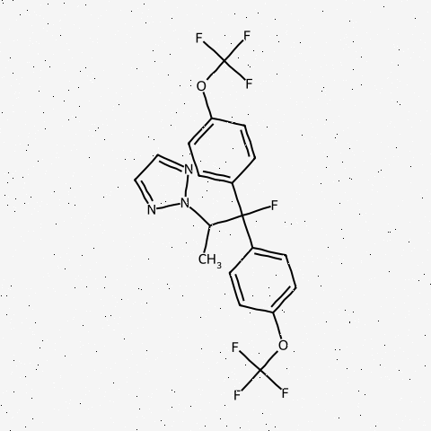 CC(n1nccn1)C(F)(c1ccc(OC(F)(F)F)cc1)c1ccc(OC(F)(F)F)cc1